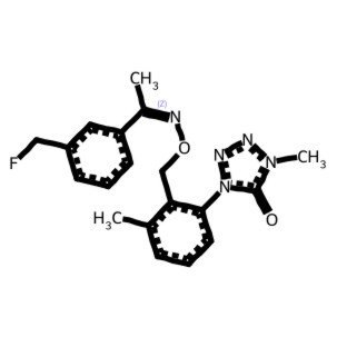 C/C(=N/OCc1c(C)cccc1-n1nnn(C)c1=O)c1cccc(CF)c1